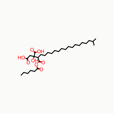 CCCCCC(=O)OC(=O)C(CCCCCCCCCCCCCCCC(C)C)C(O)(CC(=O)O)C(=O)O